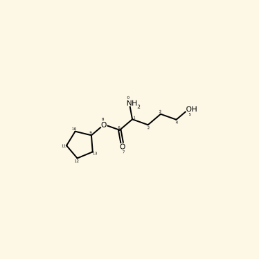 NC(CCCO)C(=O)OC1CCCC1